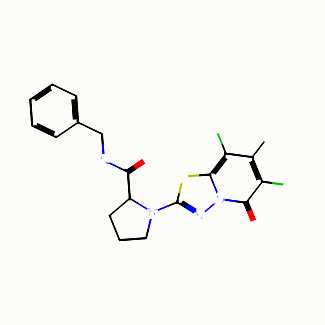 CCc1c(Cl)c(=O)n2nc(N3CCCC3C(=O)NCc3ccccc3)sc2c1Cl